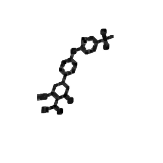 CCC(=O)C1=C(O)CC(c2ccc(Oc3ccc(S(C)(=O)=O)cn3)cc2)CC1=O